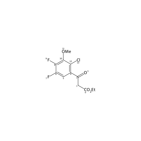 CCOC(=O)CC(=O)c1cc(F)c(F)c(OC)c1Cl